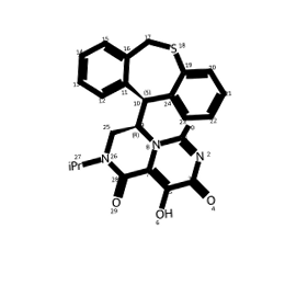 Cc1nc(=O)c(O)c2n1[C@H]([C@H]1c3ccccc3CSc3ccccc31)CN(C(C)C)C2=O